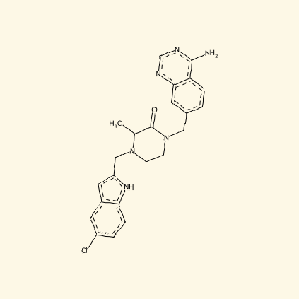 CC1C(=O)N(Cc2ccc3c(N)ncnc3c2)CCN1Cc1cc2cc(Cl)ccc2[nH]1